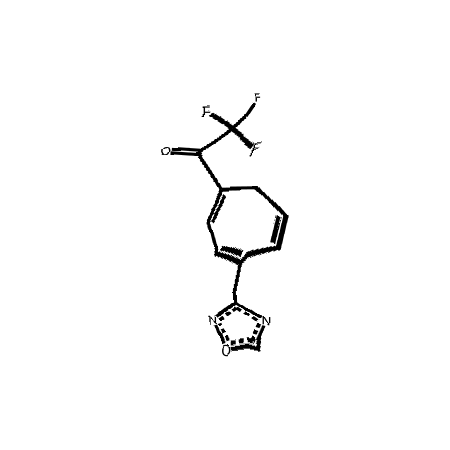 O=C(C1=CC=C(c2ncon2)C=CC1)C(F)(F)F